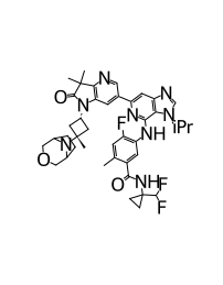 Cc1cc(F)c(Nc2nc(-c3cnc4c(c3)N([C@H]3C[C@@](C)(N5C6CCC5COC6)C3)C(=O)C4(C)C)cc3ncn(C(C)C)c23)cc1C(=O)NC1(C(F)F)CC1